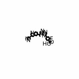 CC(c1ccc2ncc(-c3cnn(C)c3)cc2c1)n1cnc2ncc(-c3ccc(C(=O)O)c(F)c3)nc21